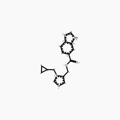 O=C(OCc1cncn1CC1CC1)c1ccc2nc[nH]c2c1